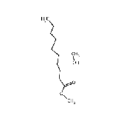 CCCCCCCCCC(=O)OC.CO